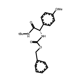 COc1ccc([C@H](NC(=O)OCc2ccccc2)C(=O)NC(C)(C)C)cc1